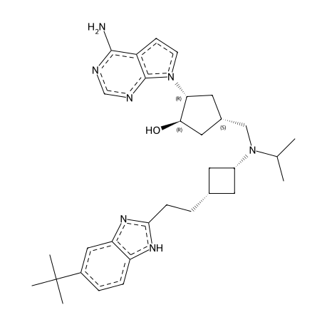 CC(C)N(C[C@@H]1C[C@@H](O)[C@H](n2ccc3c(N)ncnc32)C1)[C@H]1C[C@@H](CCc2nc3cc(C(C)(C)C)ccc3[nH]2)C1